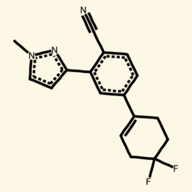 Cn1ccc(-c2cc(C3=CCC(F)(F)CC3)ccc2C#N)n1